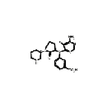 Nc1ncnc(N(c2cccc(C(=O)O)c2)C2CCCN([C@@H]3CCCNC3)C2=O)c1F